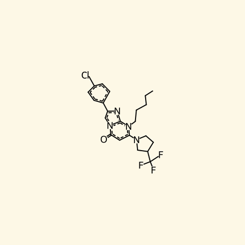 CCCCCn1c(N2CCC(C(F)(F)F)C2)cc(=O)n2cc(-c3ccc(Cl)cc3)nc12